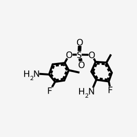 Cc1cc(F)c(N)cc1OS(=O)(=O)Oc1cc(N)c(F)cc1C